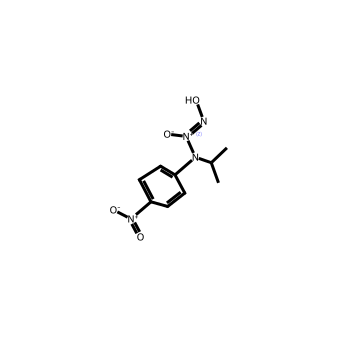 CC(C)N(c1ccc([N+](=O)[O-])cc1)/[N+]([O-])=N/O